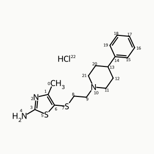 Cc1nc(N)sc1SCCN1CCC(c2ccccc2)CC1.Cl